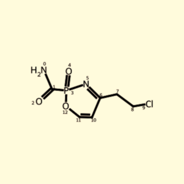 NC(=O)P1(=O)N=C(CCCl)C=CO1